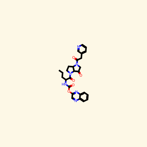 CCCC(NC(=O)Oc1cnc2ccccc2n1)C(=O)N1CCC2C1C(=O)CN2C(=O)Cc1cccnc1